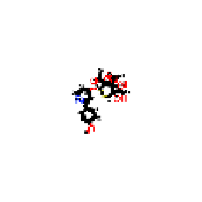 COc1ccc(-c2cc(O[C@H]3SC[C@](O)(C(C)=O)[C@@](O)(C(C)=O)[C@]3(O)C(C)=O)ccn2)cc1